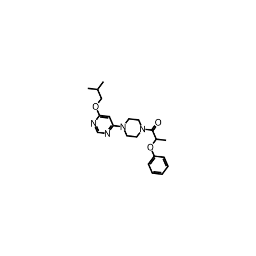 CC(C)COc1cc(N2CCN(C(=O)C(C)Oc3ccccc3)CC2)ncn1